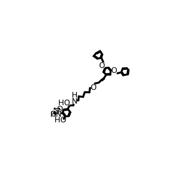 CS(=O)(=O)Nc1cc(C(O)CNCCCCCCOCCC=Cc2cc(OCc3ccccc3)cc(OCc3ccccc3)c2)ccc1O